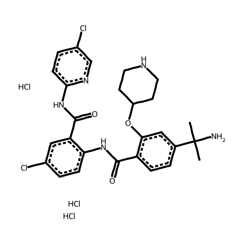 CC(C)(N)c1ccc(C(=O)Nc2ccc(Cl)cc2C(=O)Nc2ccc(Cl)cn2)c(OC2CCNCC2)c1.Cl.Cl.Cl